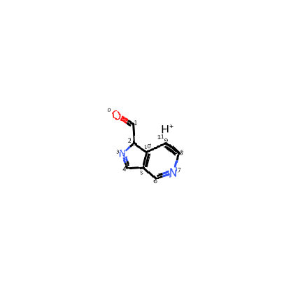 O=CC1N=Cc2cnccc21.[H+]